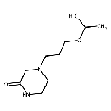 CC(C)OCCCN1CCNC(=O)C1